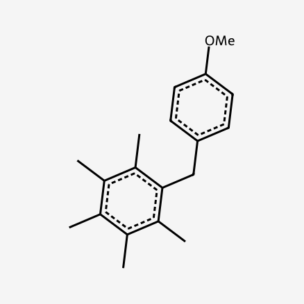 COc1ccc(Cc2c(C)c(C)c(C)c(C)c2C)cc1